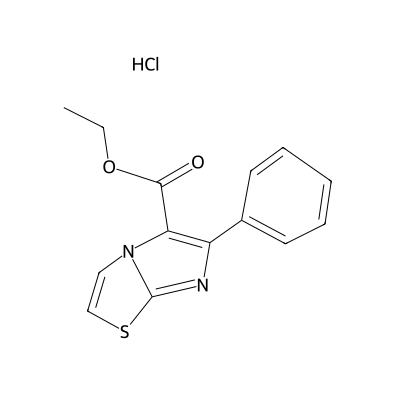 CCOC(=O)c1c(-c2ccccc2)nc2sccn12.Cl